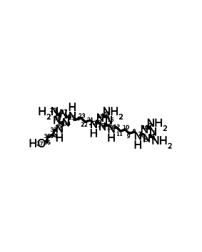 Nc1nc(N)nc(NCCCCCNc2nc(N)nc(NCCCCNc3nc(N)nc(NCCCCO)n3)n2)n1